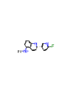 CCNc1cccc2nc(-c3ccc(F)nc3)ccc12